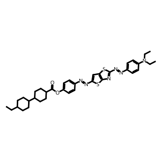 CCC1CCC(C2CCC(C(=O)Oc3ccc(N=Nc4cc5sc(N=Nc6ccc(N(CC)CC)cc6)nc5s4)cc3)CC2)CC1